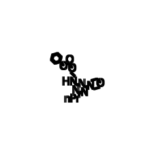 CCCc1nc(NCCOC(=O)Oc2ccccc2)nc(N2CCOCC2)n1